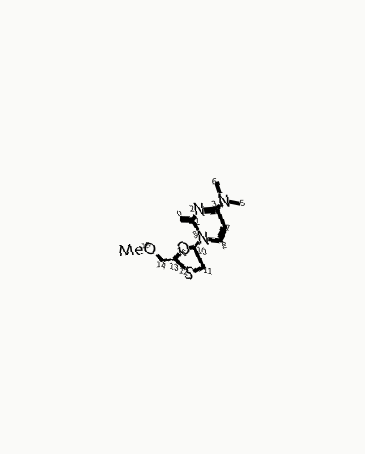 C=C1N=C(N(C)C)C=CN1[C@H]1CS[C@@H](COC)O1